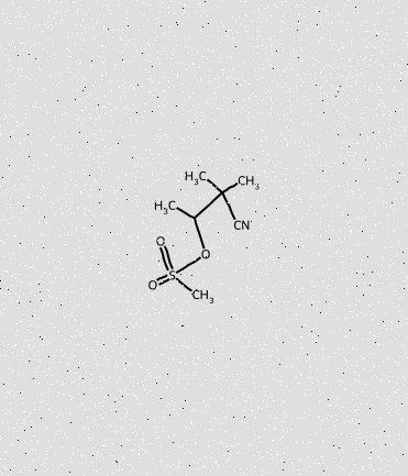 CC(OS(C)(=O)=O)C(C)(C)C#N